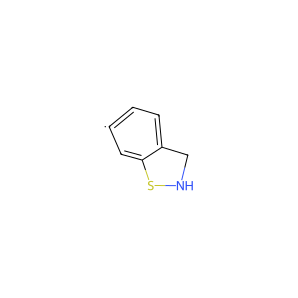 [c]1ccc2c(c1)SNC2